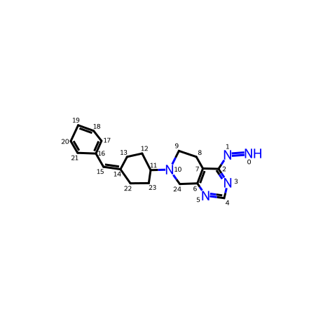 N=Nc1ncnc2c1CCN(C1CCC(=Cc3ccccc3)CC1)C2